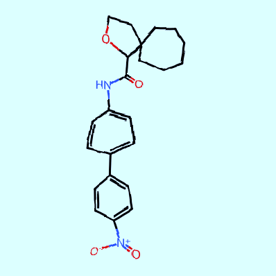 O=C(Nc1ccc(-c2ccc([N+](=O)[O-])cc2)cc1)C1OCCC12CCCCCC2